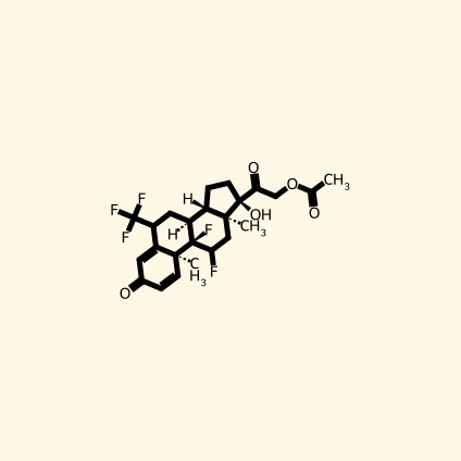 CC(=O)OCC(=O)[C@@]1(O)CC[C@H]2[C@@H]3CC(C(F)(F)F)C4=CC(=O)C=C[C@]4(C)[C@@]3(F)C(F)C[C@@]21C